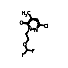 Cc1cc(Cl)nn(CCOC(F)F)c1=O